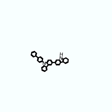 C1=Cc2c([nH]c3cc(-c4ccc5c(c4)c4ccccc4n5-c4ccc(-c5ccccc5)cc4)ccc23)CC1